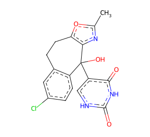 Cc1nc2c(o1)CCc1cc(Cl)ccc1C2(O)c1c[nH]c(=O)[nH]c1=O